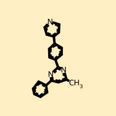 Cc1cc(-c2ccccc2)nc(-c2ccc(-c3ccncc3)cc2)n1